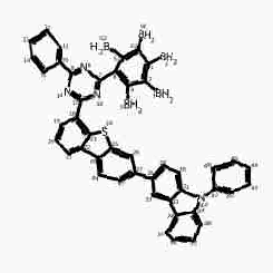 Bc1c(B)c(B)c(-c2nc(-c3ccccc3)nc(-c3cccc4c3sc3cc(-c5ccc6c(c5)c5ccccc5n6-c5ccccc5)ccc34)n2)c(B)c1B